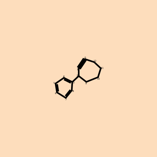 C1#CC(c2ccccc2)CCCC1